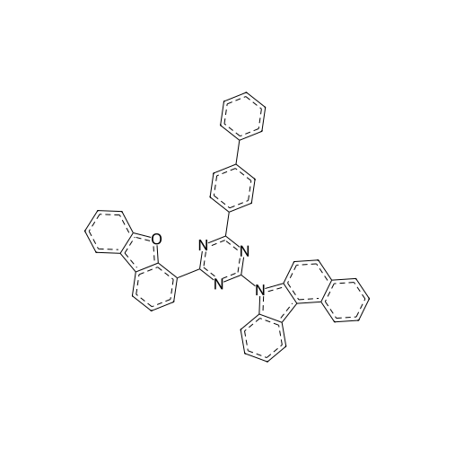 c1ccc(-c2ccc(-c3nc(-c4cccc5c4oc4ccccc45)nc(-n4c5ccccc5c5c6ccccc6ccc54)n3)cc2)cc1